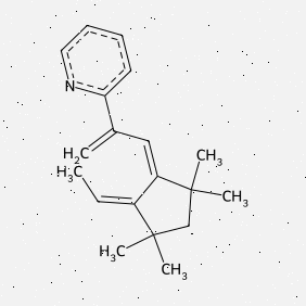 C=C(/C=C1\C(=C/C)C(C)(C)CC1(C)C)c1ccccn1